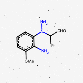 COc1cccc(N(N)C(C=O)C(C)C)c1N